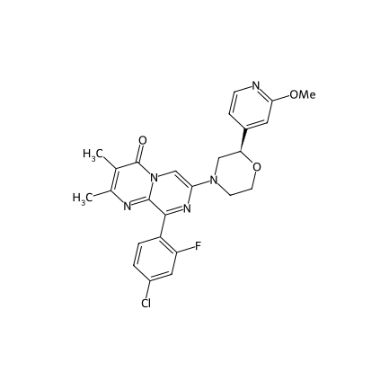 COc1cc([C@@H]2CN(c3cn4c(=O)c(C)c(C)nc4c(-c4ccc(Cl)cc4F)n3)CCO2)ccn1